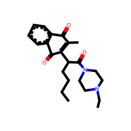 CCCCC(C(=O)N1CCN(CC)CC1)C1=C(C)C(=O)c2ccccc2C1=O